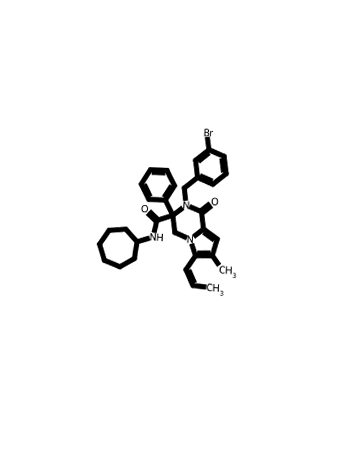 C/C=C\c1c(C)cc2n1CC(C(=O)NC1CCCCCC1)(c1ccccc1)N(Cc1cccc(Br)c1)C2=O